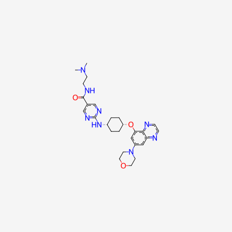 CN(C)CCNC(=O)c1cnc(N[C@H]2CC[C@@H](Oc3cc(N4CCOCC4)cc4nccnc34)CC2)nc1